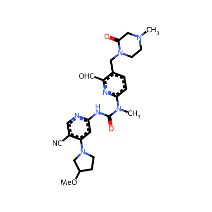 COC1CCN(c2cc(NC(=O)N(C)c3ccc(CN4CCN(C)CC4=O)c(C=O)n3)ncc2C#N)C1